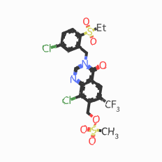 CCS(=O)(=O)c1ccc(Cl)cc1Cn1cnc2c(Cl)c(COS(C)(=O)=O)c(C(F)(F)F)cc2c1=O